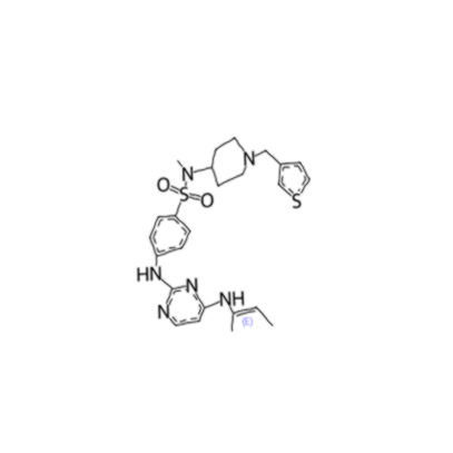 C/C=C(\C)Nc1ccnc(Nc2ccc(S(=O)(=O)N(C)C3CCN(Cc4ccsc4)CC3)cc2)n1